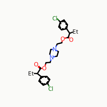 CCC(C(=O)OCCN1CCN(CCOC(=O)C(CC)c2ccc(Cl)cc2)CC1)c1ccc(Cl)cc1